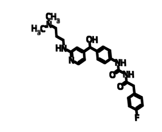 CN(C)CCCNc1cc(C(O)c2ccc(NC(=O)NC(=O)Cc3ccc(F)cc3)cc2)ccn1